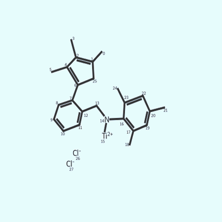 CC1=C(C)C(C)=C(c2ccccc2C[N]([Ti+2])c2c(C)cc(C)cc2C)C1.[Cl-].[Cl-]